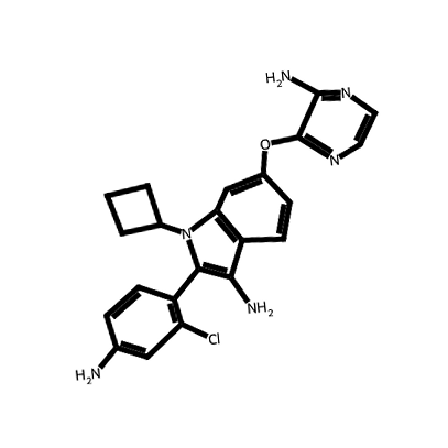 Nc1ccc(-c2c(N)c3ccc(Oc4nccnc4N)cc3n2C2CCC2)c(Cl)c1